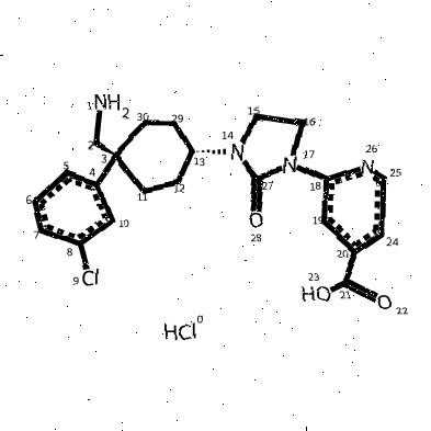 Cl.NC[C@]1(c2cccc(Cl)c2)CC[C@@H](N2CCN(c3cc(C(=O)O)ccn3)C2=O)CC1